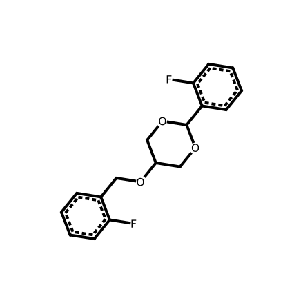 Fc1ccccc1COC1COC(c2ccccc2F)OC1